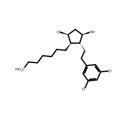 O=C(O)CCCCCC[C@@H]1[C@@H](CCc2cc(Cl)cc(Cl)c2)[C@H](O)C[C@@H]1Cl